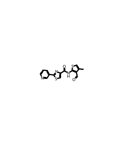 Cc1csc(NC(=O)c2csc(-c3cccnc3)n2)c1C=O